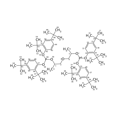 CC(COCC(C)OP(Oc1ccc(C(C)(C)C)cc1C(C)(C)C)Oc1ccc(C(C)(C)C)cc1C(C)(C)C)OP(Oc1ccc(C(C)(C)C)cc1C(C)(C)C)Oc1ccc(C(C)(C)C)cc1C(C)(C)C